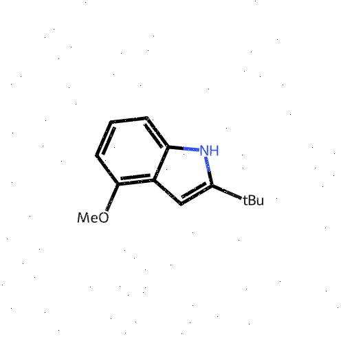 COc1cccc2[nH]c(C(C)(C)C)cc12